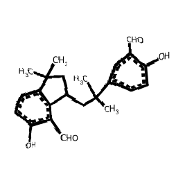 CC(C)(CC1CC(C)(C)c2ccc(O)c(C=O)c21)c1ccc(O)c(C=O)c1